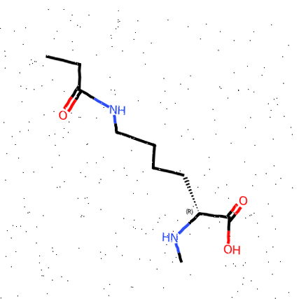 CCC(=O)NCCCC[C@@H](NC)C(=O)O